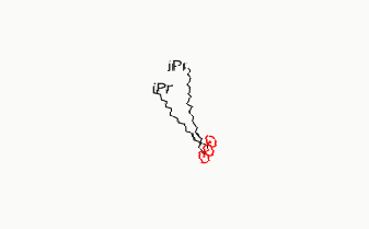 CC(C)CCCCCCCCCCCC=CC1(C=CCCCCCCCCCCCCCC(C)C)CC(=O)OC1=O